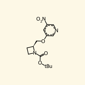 CC(C)(C)OC(=O)N1CC[C@H]1COc1cncc([N+](=O)[O-])c1